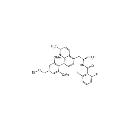 CCOCc1cc(OC)c(-c2ccc(C[C@H](NC(=O)c3c(F)cccc3F)C(=O)O)c3ccc(C)nc23)c(OC)c1